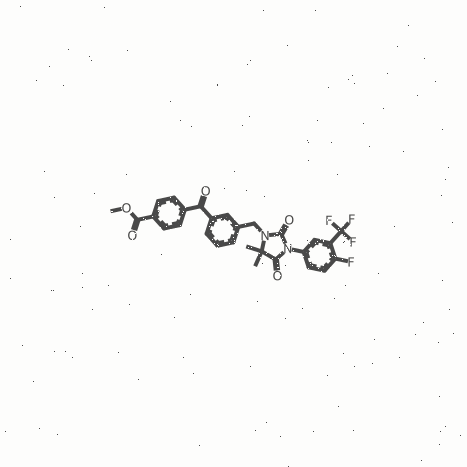 COC(=O)c1ccc(C(=O)c2cccc(CN3C(=O)N(c4ccc(F)c(C(F)(F)F)c4)C(=O)C3(C)C)c2)cc1